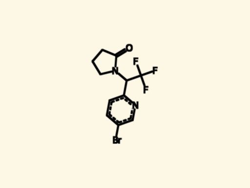 O=C1CCCN1C(c1ccc(Br)cn1)C(F)(F)F